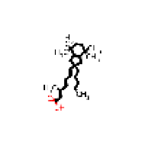 CCCCCC1(/C=C/C=C/C(C)=C/C(=O)O)CC2=C(C1)C(C)(C)CCC2(C)C